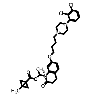 CC(OC(=O)C12CC1(C)C2)N1C(=O)CCc2ccc(OCCCCN3CCN(c4cccc(Cl)c4Cl)CC3)cc21